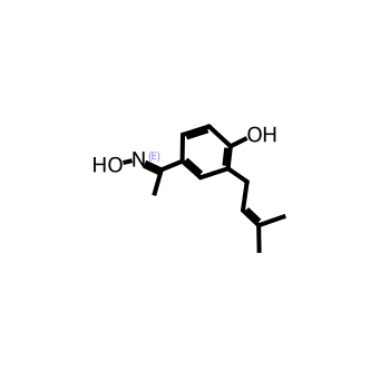 CC(C)=CCc1cc(/C(C)=N/O)ccc1O